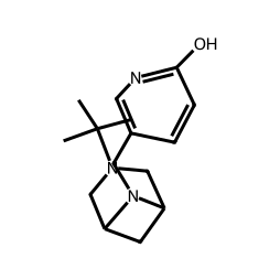 CC(C)(C)N1CC2CC(C1)N2Cc1ccc(O)nc1